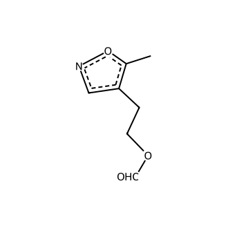 Cc1oncc1CCOC=O